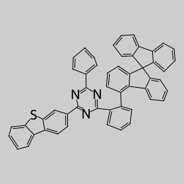 c1ccc(-c2nc(-c3ccc4c(c3)sc3ccccc34)nc(-c3ccccc3-c3cccc4c3-c3ccccc3C43c4ccccc4-c4ccccc43)n2)cc1